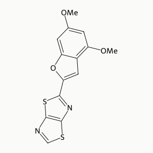 COc1cc(OC)c2cc(-c3nc4scnc4s3)oc2c1